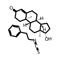 C[C@]12CC[C@H]3[C@@H](CCC4=CC(=O)CC[C@@]43C)[C@@H]1CC[C@@H]2O.S=C=NCCc1ccccc1